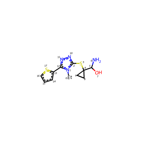 CCn1c(SC2(C(N)O)CC2)nnc1-c1cccs1